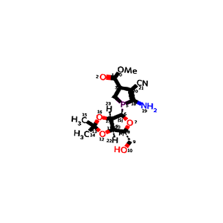 COC(=O)C1CP([C@@H]2O[C@H](CO)[C@H]3OC(C)(C)O[C@H]32)C(N)=C1C#N